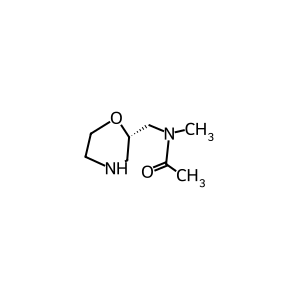 CC(=O)N(C)C[C@@H]1CNCCO1